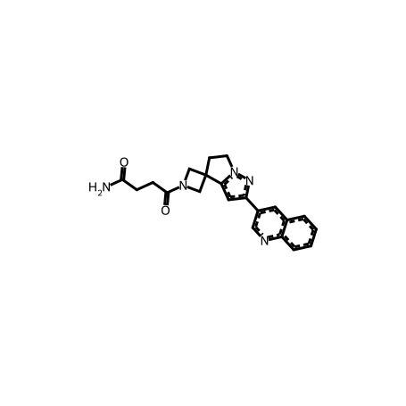 NC(=O)CCC(=O)N1CC2(CCn3nc(-c4cnc5ccccc5c4)cc32)C1